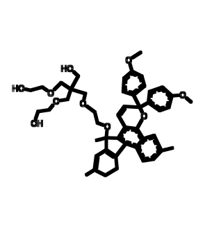 COc1ccc(C2(c3ccc(OC)cc3)C=Cc3c4c(c5ccc(C)cc5c3O2)C2=C(C=C(C)CC2)C4(C)OCCOCC(CO)(COCCO)COCCO)cc1